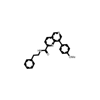 COc1ccc(-c2cncc3ccc(C(=O)NCCc4ccccc4)nc23)cc1